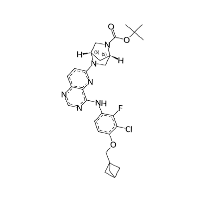 CC(C)(C)OC(=O)N1C[C@@H]2C[C@H]1CN2c1ccc2ncnc(Nc3ccc(OCC45CC(C4)C5)c(Cl)c3F)c2n1